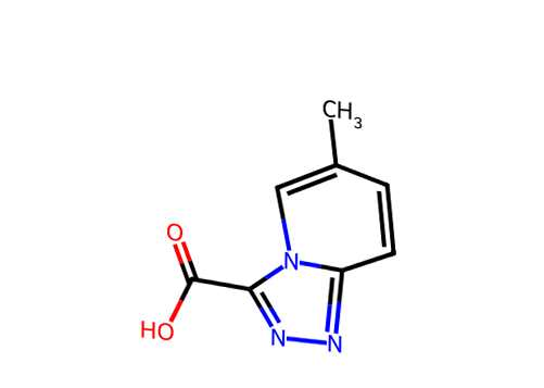 Cc1ccc2nnc(C(=O)O)n2c1